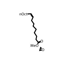 C1CO1.CCCCCCCC/C=C\CCCCCCCC(=O)OC